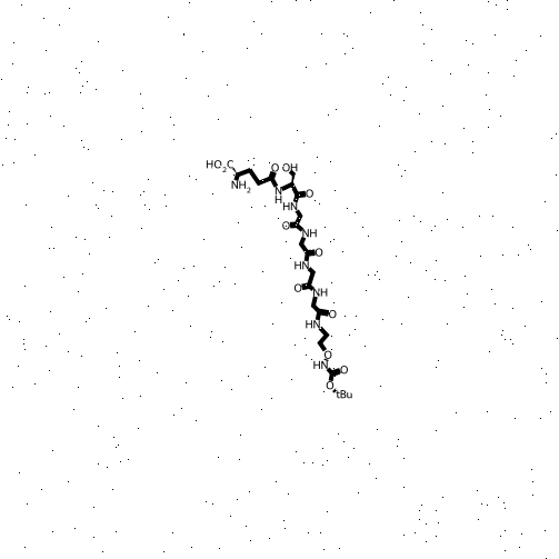 CC(C)(C)OC(=O)NOCCNC(=O)CNC(=O)CNC(=O)CNC(=O)CNC(=O)[C@H](CO)NC(=O)CC[C@H](N)C(=O)O